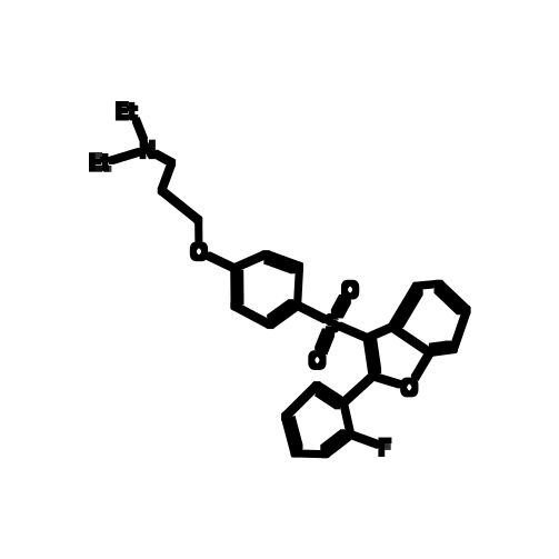 CCN(CC)CCCOc1ccc(S(=O)(=O)c2c(-c3ccccc3F)oc3ccccc23)cc1